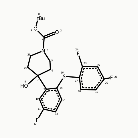 CC(C)(C)OC(=O)N1CCC(O)(c2cc(F)ccc2Sc2ccc(F)cc2F)CC1